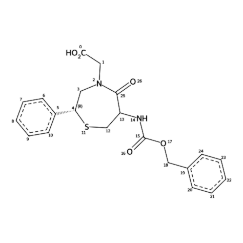 O=C(O)CN1C[C@@H](c2ccccc2)SCC(NC(=O)OCc2ccccc2)C1=O